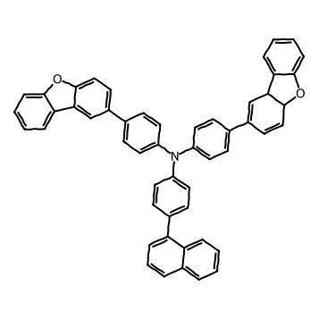 C1=CC2Oc3ccccc3C2C=C1c1ccc(N(c2ccc(-c3ccc4oc5ccccc5c4c3)cc2)c2ccc(-c3cccc4ccccc34)cc2)cc1